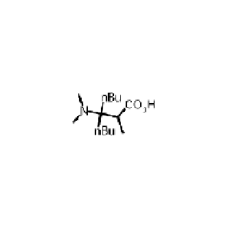 CCCCC(CCCC)(C(C)C(=O)O)N(C)C